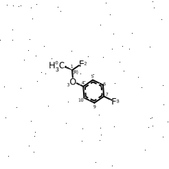 C[C@@H](F)Oc1ccc(F)cc1